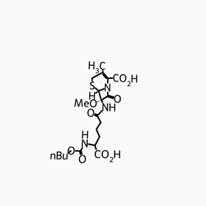 CCCCOC(=O)NC(CCCC(=O)N[C@]1(OC)C(=O)N2C(C(=O)O)=C(C)CS[C@H]21)C(=O)O